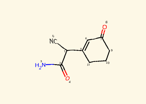 N#CC(C(N)=O)C1=CC(=O)CCC1